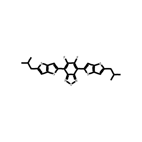 CC(C)Cc1cc2sc(-c3c(F)c(F)c(-c4cc5sc(CC(C)C)cc5s4)c4nsnc34)cc2s1